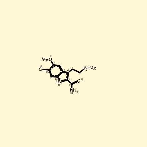 COc1cc2c(CCNC(C)=O)c(C(N)=O)[nH]c2cc1Cl